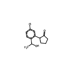 O=C1CCCN1c1cc(Cl)ccc1C(O)C(F)(F)F